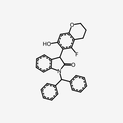 O=C1C(c2c(O)cc3c(c2F)CCCO3)c2ccccc2N1C(c1ccccc1)c1ccccc1